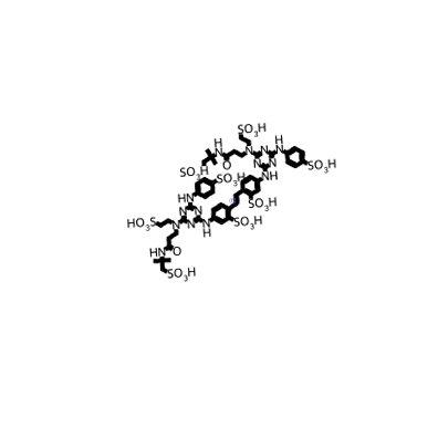 CC(C)(CS(=O)(=O)O)NC(=O)CCN(CCS(=O)(=O)O)c1nc(Nc2ccc(S(=O)(=O)O)cc2)nc(Nc2ccc(/C=C/c3ccc(Nc4nc(Nc5ccc(S(=O)(=O)O)cc5)nc(N(CCC(=O)NC(C)(C)CS(=O)(=O)O)CCS(=O)(=O)O)n4)cc3S(=O)(=O)O)c(S(=O)(=O)O)c2)n1